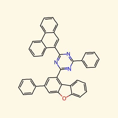 c1ccc(-c2cc(-c3nc(-c4ccccc4)nc(-c4cc5ccccc5c5ccccc45)n3)c3c(c2)oc2ccccc23)cc1